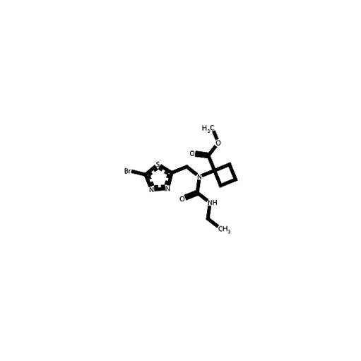 CCNC(=O)N(Cc1nnc(Br)s1)C1(C(=O)OC)CCC1